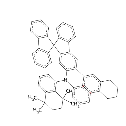 CC1(C)CCC(C)(C)c2c(N(c3ccccc3)c3cc4c(cc3-c3ccc5c(c3)CCCC5)-c3ccccc3C43c4ccccc4-c4ccccc43)cccc21